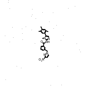 Cc1cc(C)c(-c2cnc(NC(=O)c3cccc(Cn4ccc([N+](=O)[O-])n4)c3)n2C)cc1C